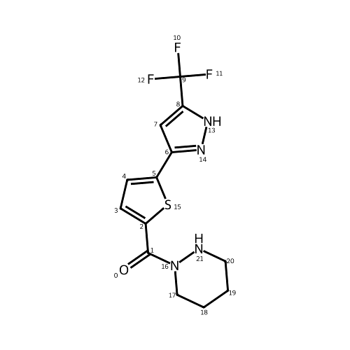 O=C(c1ccc(-c2cc(C(F)(F)F)[nH]n2)s1)N1CCCCN1